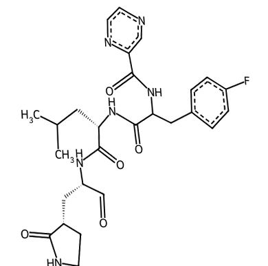 CC(C)C[C@H](NC(=O)C(Cc1ccc(F)cc1)NC(=O)c1cnccn1)C(=O)N[C@H](C=O)C[C@@H]1CCNC1=O